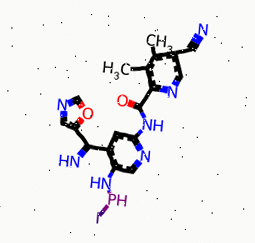 Cc1c(C#N)cnc(C(=O)Nc2cc(C(=N)c3cnco3)c(NPI)cn2)c1C